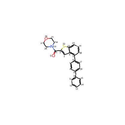 O=C(c1cc2c(-c3ccc(-c4ccccc4)cc3)cccc2s1)N1CCOCC1